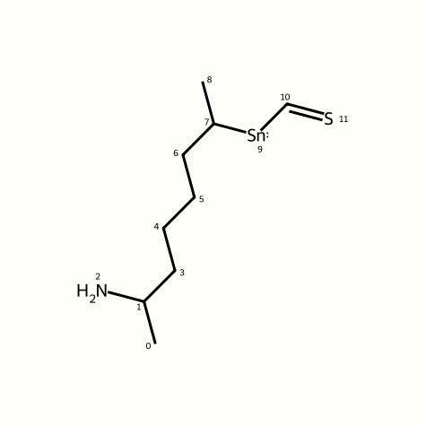 CC(N)CCCC[CH](C)[Sn][CH]=S